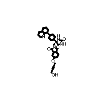 O=C1NC(=O)[C@](CN2Cc3ccc(OCC#CCO)cc3C2=O)(c2ccc(-c3cccc4cccnc34)cc2)N1